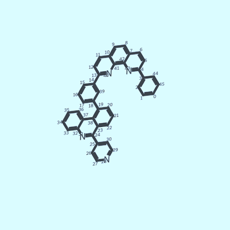 c1ccc(-c2ccc3ccc4ccc(-c5cccc(-c6cccc7c(-c8ccncc8)nc8ccccc8c67)c5)nc4c3n2)cc1